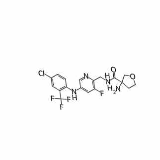 NC1(C(=O)NCc2ncc(Nc3ccc(Cl)cc3C(F)(F)F)cc2F)CCOC1